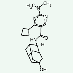 CN(C)c1ncc(C(=O)N[C@H]2C3CC4CC2C[C@@](O)(C4)C3)c(C2CCC2)n1